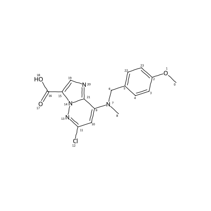 COc1ccc(CN(C)c2cc(Cl)nn3c(C(=O)O)cnc23)cc1